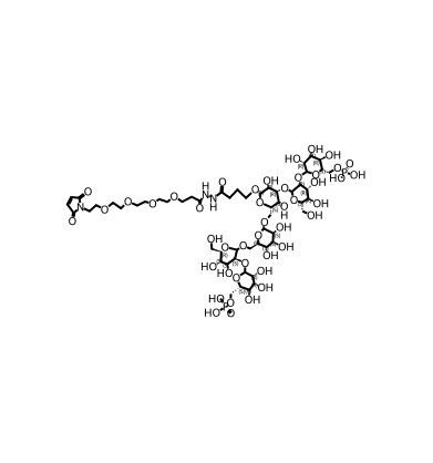 O=C(CCCO[C@H]1O[C@@H](COC2O[C@H](COC3O[C@H](CO)[C@@H](O)[C@H](O)[C@@H]3OC3O[C@@H](COP(=O)(O)O)[C@H](O)[C@@H](O)[C@H]3O)[C@@H](O)[C@H](O)[C@@H]2O)[C@H](O)[C@@H](OC2O[C@@H](CO)[C@H](O)[C@@H](O)[C@H]2OC2O[C@@H](COP(=O)(O)O)[C@H](O)[C@@H](O)[C@H]2O)[C@H]1O)NNC(=O)CCOCCOCCOCCOCCN1C(=O)C=CC1=O